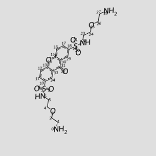 NCCOCCNS(=O)(=O)c1ccc2oc3ccc(S(=O)(=O)NCCOCCN)cc3c(=O)c2c1